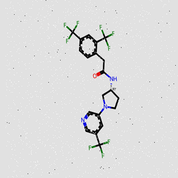 O=C(Cc1ccc(C(F)(F)F)cc1C(F)(F)F)N[C@@H]1CCN(c2cncc(C(F)(F)F)c2)C1